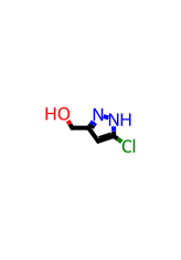 OCc1cc(Cl)[nH]n1